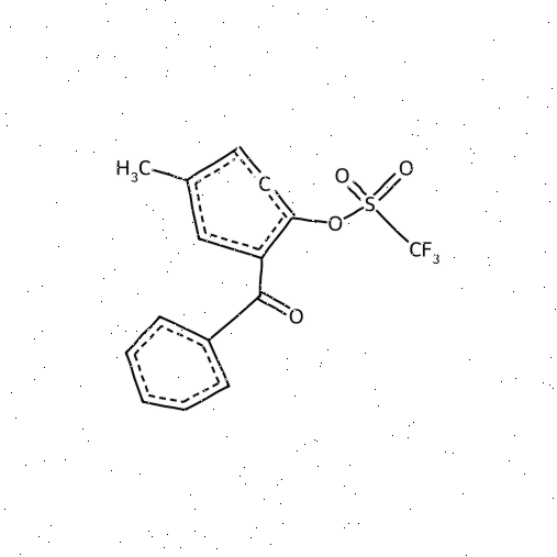 Cc1ccc(OS(=O)(=O)C(F)(F)F)c(C(=O)c2ccccc2)c1